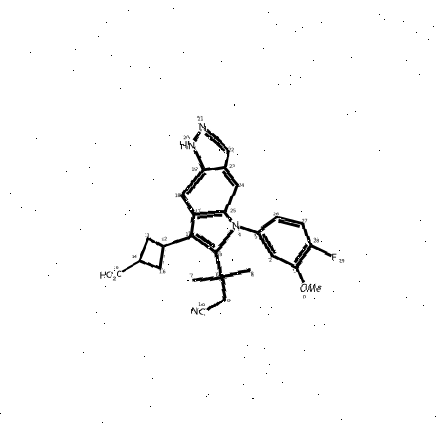 COc1cc(-n2c(C(C)(C)CC#N)c(C3CC(C(=O)O)C3)c3cc4[nH]ncc4cc32)ccc1F